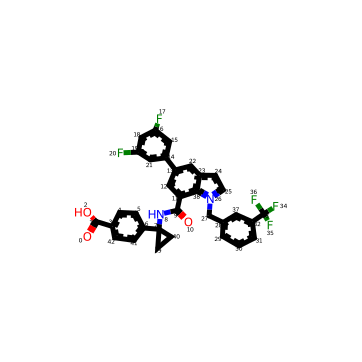 O=C(O)c1ccc(C2(NC(=O)c3cc(-c4cc(F)cc(F)c4)cc4ccn(Cc5cccc(C(F)(F)F)c5)c34)CC2)cc1